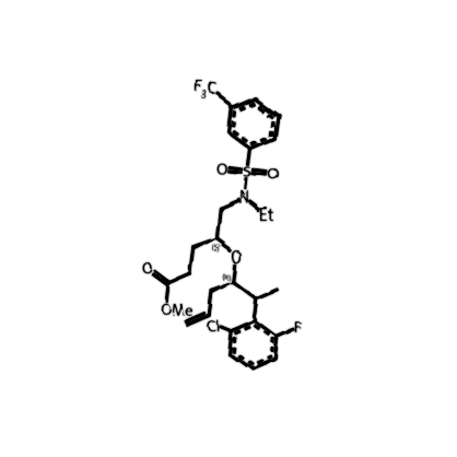 C=CC[C@@H](O[C@@H](CCC(=O)OC)CN(CC)S(=O)(=O)c1cccc(C(F)(F)F)c1)C(C)c1c(F)cccc1Cl